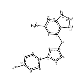 Nc1cc(Cc2cnn(-c3ccc(F)cc3)c2)c2c(n1)NNN2